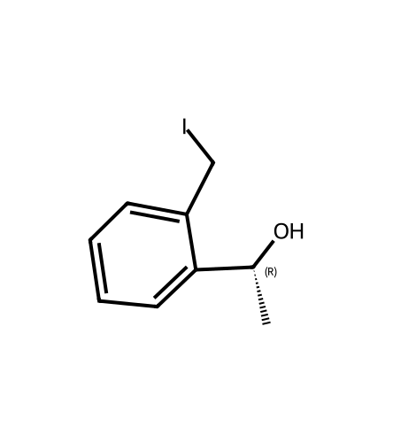 C[C@@H](O)c1ccccc1CI